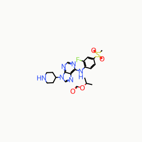 CC(C)OC=O.CS(=O)(=O)c1ccc(Nc2ncnc3c2ncn3C2CCNCC2)c(F)c1